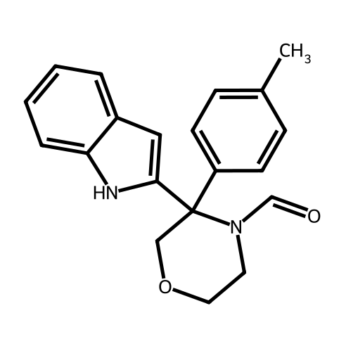 Cc1ccc(C2(c3cc4ccccc4[nH]3)COCCN2C=O)cc1